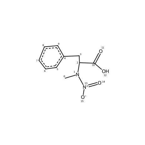 CN(C(Cc1ccccc1)C(=O)O)[N+](=O)[O-]